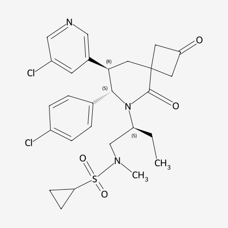 CC[C@@H](CN(C)S(=O)(=O)C1CC1)N1C(=O)C2(CC(=O)C2)C[C@H](c2cncc(Cl)c2)[C@H]1c1ccc(Cl)cc1